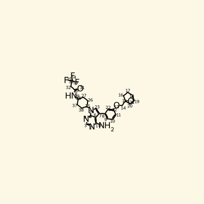 Nc1ncnc2c1c(-c1cccc(OCC34CCC(CC3)O4)c1)cn2C1CCC(NC(=O)CC(F)(F)F)CC1